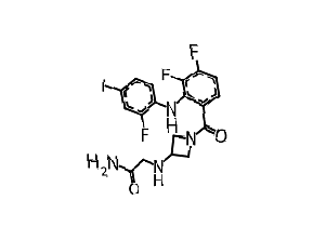 NC(=O)CNC1CN(C(=O)c2ccc(F)c(F)c2Nc2ccc(I)cc2F)C1